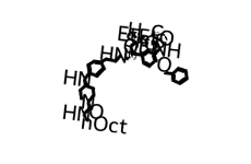 CCCCCCCCNC(=O)N1CCC(Nc2ccc(CCNC[C@H](O[Si](CC)(CC)CC)c3ccc(OCc4ccccc4)c(NS(C)(=O)=O)c3)cc2)CC1